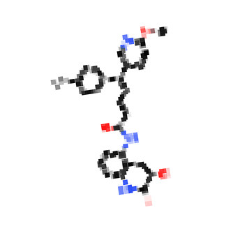 CCCOc1ccc(C(=CC=CC(=O)Nc2cccc3c2CC(O)C(=O)N3)c2ccc(C(F)(F)F)cc2)cn1